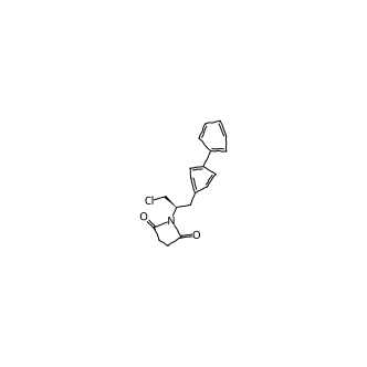 O=C1CCC(=O)N1[C@@H](CCl)Cc1ccc(-c2ccccc2)cc1